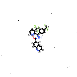 O=C(NC(c1ccc(C(F)(F)F)cc1)c1ncccc1C(F)(F)F)c1ccc2ncccc2c1